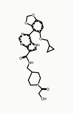 O=C(NCC1CCN(C(=O)CO)CC1)c1c[nH]c2c(-c3c(OCC4CC4)ccc4c3OCO4)ncnc12